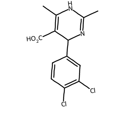 CC1=NC(c2ccc(Cl)c(Cl)c2)C(C(=O)O)=C(C)N1